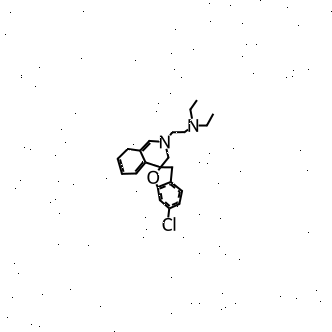 CCN(CC)CCN1C=C2CC=CC=C2C2(Cc3ccc(Cl)cc3O2)C1